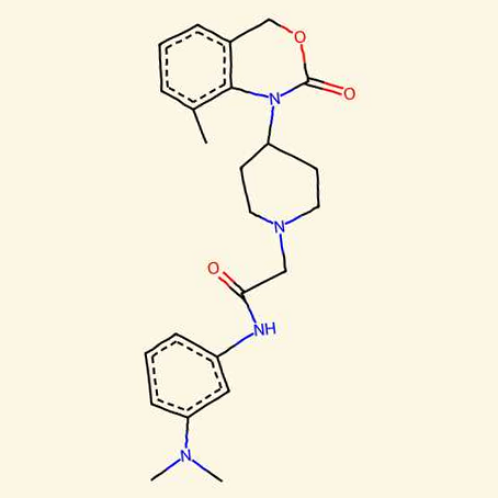 Cc1cccc2c1N(C1CCN(CC(=O)Nc3cccc(N(C)C)c3)CC1)C(=O)OC2